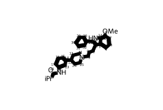 COc1cccc2c(CCCN3CCC(c4cccc(NC(=O)C(C)C)c4)CC3)c(-c3ccccc3)[nH]c12